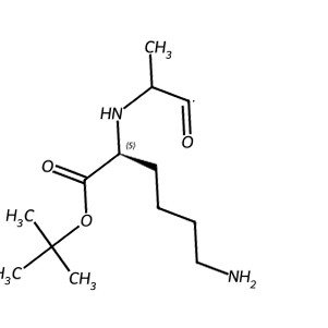 CC([C]=O)N[C@@H](CCCCN)C(=O)OC(C)(C)C